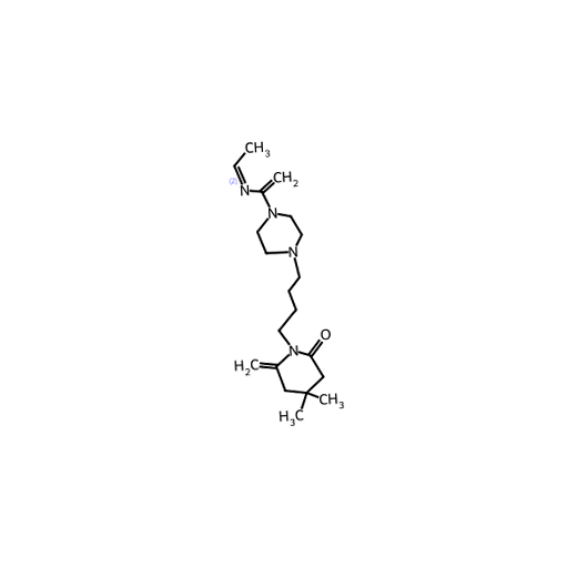 C=C(/N=C\C)N1CCN(CCCCN2C(=C)CC(C)(C)CC2=O)CC1